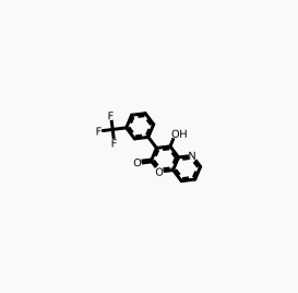 O=c1oc2cccnc2c(O)c1-c1cccc(C(F)(F)F)c1